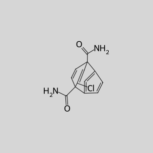 NC(=O)C12C=CC(C(N)=O)(C(Cl)=C1)c1ccc2cc1